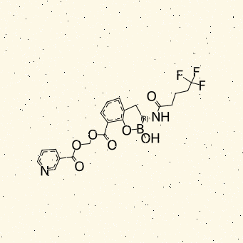 O=C(CCCC(F)(F)F)N[C@H]1Cc2cccc(C(=O)OCOC(=O)c3cccnc3)c2OB1O